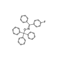 Fc1ccc(C(=NOC(c2ccccc2)(c2ccccc2)c2ccccc2)c2ccccc2)cc1